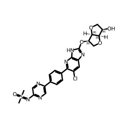 CS(C)(=O)=Nc1cnc(-c2ccc(-c3nc4[nH]c(O[C@@H]5CO[C@H]6[C@@H]5OC[C@H]6O)nc4cc3Cl)cc2)cn1